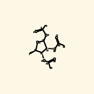 CC(=O)OC1O[C@H](C)[C@@H](OC(C)=O)[C@H]1OC(C)=O